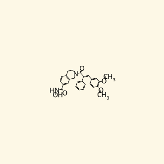 COc1ccc(C=C(C(=O)N2CCc3ccc(C(=O)NO)cc3C2)c2ccccc2)cc1OC